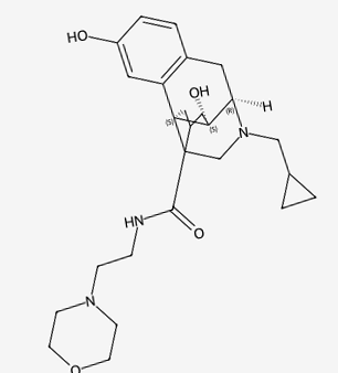 O=C(NCCN1CCOCC1)C1C[C@]23CCN(CC4CC4)[C@H](Cc4ccc(O)cc42)[C@]3(O)C1